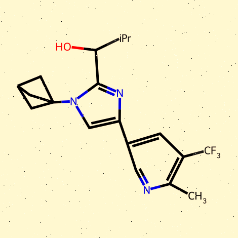 Cc1ncc(-c2cn(C34CC(C3)C4)c(C(O)C(C)C)n2)cc1C(F)(F)F